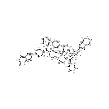 CC(C)(C)c1ccc2c(c1)C1(c3cc(N(c4ccccc4)c4ccc(-c5nc6ccccc6o5)cc4)ccc3-c3ccc(N(c4ccccc4)c4ccc(-c5nc6ccccc6o5)cc4)cc31)c1cc(C(C)(C)C)ccc1-2